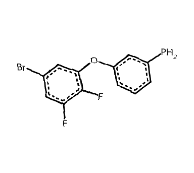 Fc1cc(Br)cc(Oc2cccc(P)c2)c1F